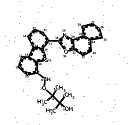 CC(C)(O)C(C)(C)OBc1cccc2c1sc1c(-c3nc4c(ccc5ccccc54)o3)cccc12